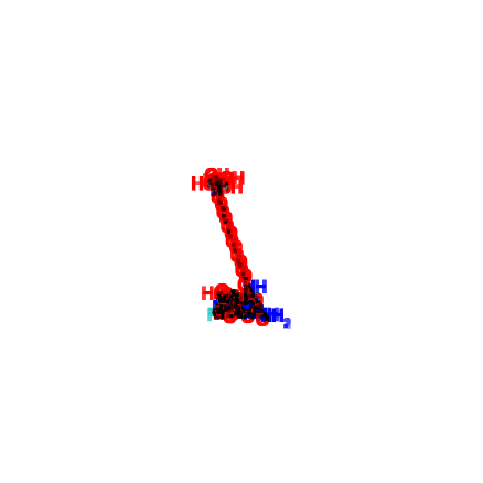 CC[C@@]1(O)C(=O)OCc2c1cc1n(c2=O)Cc2c-1nc1cc(F)c(C)c3c1c2[C@@H](NC(=O)OCc1ccc(NC(=O)[C@H](CCCNC(N)=O)NC(=O)[C@@H](NC(=O)[C@H](CCCCNC(=O)CCOCCOCCOCCOCCOCCOCCOCCOCCOCCOCCOCCOCCN(CC[C@@H](O)[C@@H](O)CO)CC[C@@H](O)[C@@H](O)CO)NC(=O)OCC2c4ccccc4-c4ccccc42)C(C)C)cc1)CC3